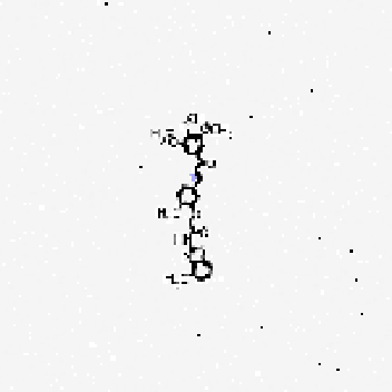 COc1cc(C(=O)/C=C/c2ccc(C)c(OCC(=O)Nc3nc4c(C)cccc4s3)c2)cc(OC)c1OC